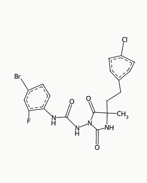 CC1(CCc2ccc(Cl)cc2)NC(=O)N(NC(=O)Nc2ccc(Br)cc2F)C1=O